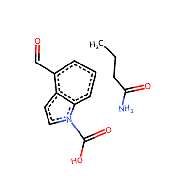 CCCC(N)=O.O=Cc1cccc2c1ccn2C(=O)O